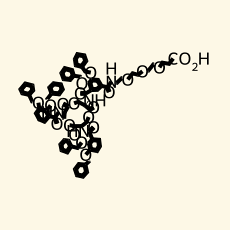 O=C(O)CCOCCOCCOCCNC(=O)c1cc(OCc2ccccc2)c(OCc2ccccc2)c(C(=O)N[C@H]2COC(=O)[C@@H](NC(=O)c3cccc(OCc4ccccc4)c3OCc3ccccc3)COC(=O)[C@@H](NC(=O)c3cccc(OCc4ccccc4)c3OCc3ccccc3)COC2=O)c1